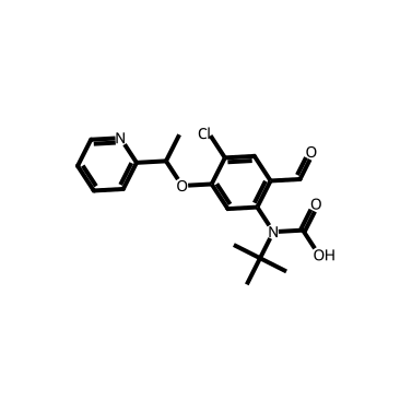 CC(Oc1cc(N(C(=O)O)C(C)(C)C)c(C=O)cc1Cl)c1ccccn1